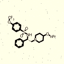 CCCOC1CCN(C[C@@H](NS(=O)(=O)c2ccc(OC(F)(F)F)cc2)c2ccccc2)CC1